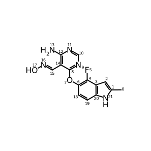 Cc1cc2c(F)c(Oc3ncnc(N)c3C=NO)ccc2[nH]1